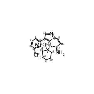 COC1(N2c3c(-c4cccc(C(F)(F)F)c4)cnn3C=CC2N)CCCCC1